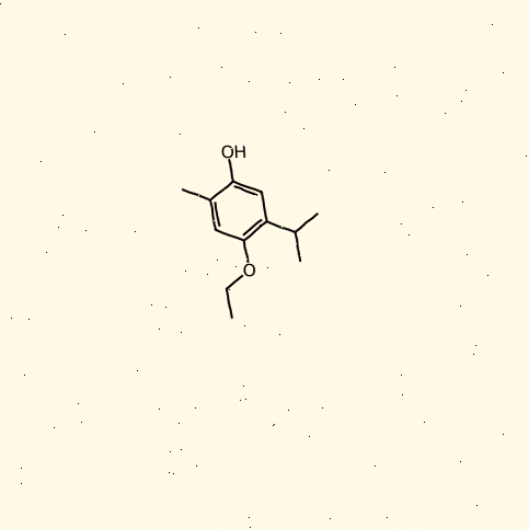 CCOc1cc(C)c(O)cc1C(C)C